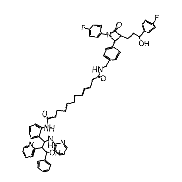 O=C(CCCCCCCCCCC(=O)Nc1ccccc1C(Nc1ccccn1)C(c1ccccn1)C(O)c1ccccc1)NCc1ccc(C2C(CCC(O)c3ccc(F)cc3)C(=O)N2c2ccc(F)cc2)cc1